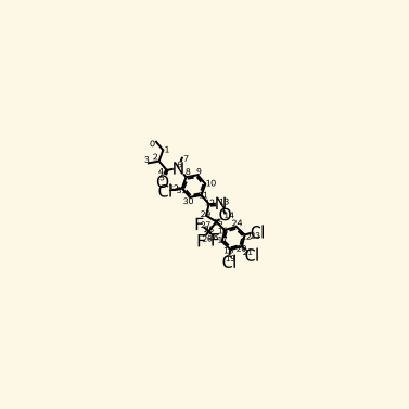 CCC(C)C(=O)N(C)c1ccc(C2=NOC(c3cc(Cl)c(Cl)c(Cl)c3)(C(F)(F)F)C2)cc1Cl